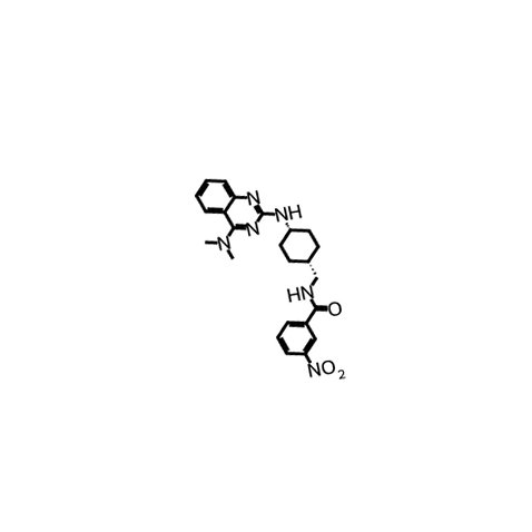 CN(C)c1nc(N[C@H]2CC[C@@H](CNC(=O)c3cccc([N+](=O)[O-])c3)CC2)nc2ccccc12